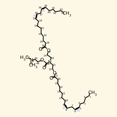 CCCCC/C=C\C/C=C\CCCCCCCC(=O)OCCN(CCOC(=O)CCCCCCC/C=C\C/C=C\CCCCC)C(=O)OCCN(C)C